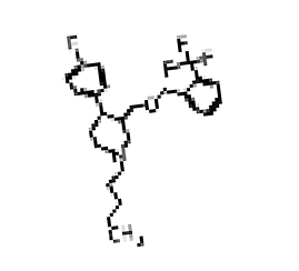 CCCCCN1CCC(c2ccc(F)cc2)C(COCc2ccccc2C(F)(F)F)C1